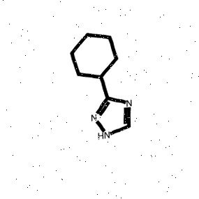 c1nc(C2CCCCC2)n[nH]1